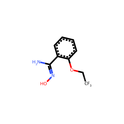 NC(=NO)c1ccccc1OCC(F)(F)F